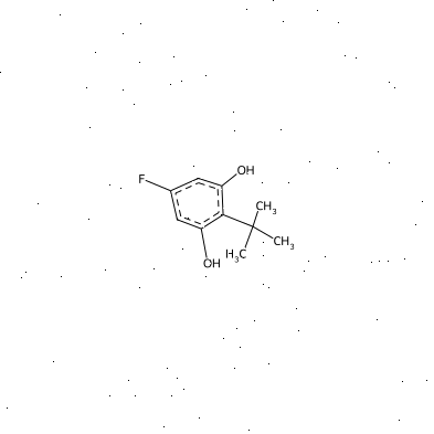 CC(C)(C)c1c(O)cc(F)cc1O